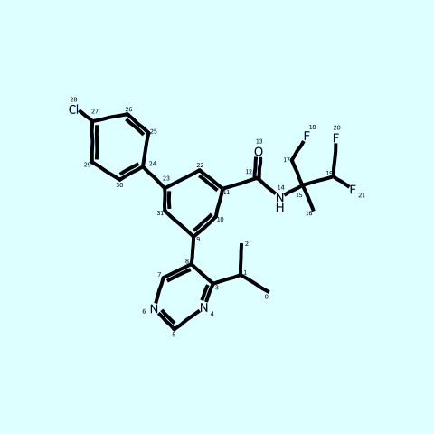 CC(C)c1ncncc1-c1cc(C(=O)NC(C)(CF)C(F)F)cc(-c2ccc(Cl)cc2)c1